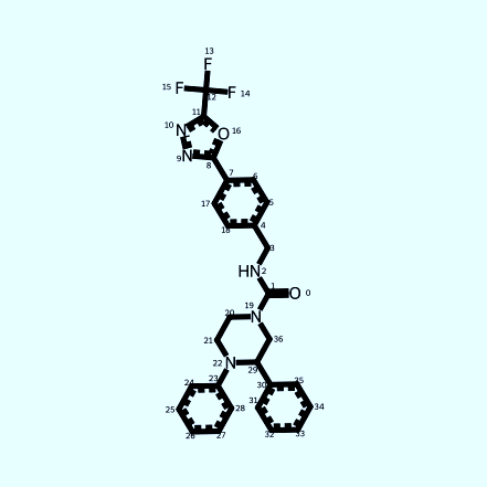 O=C(NCc1ccc(-c2nnc(C(F)(F)F)o2)cc1)N1CCN(c2ccccc2)C(c2ccccc2)C1